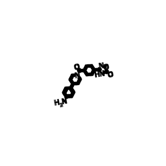 Nc1ccc(C2CCN(C(=O)C3CCC(c4noc(=O)[nH]4)CC3)CC2)cc1